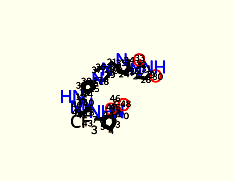 CN(c1cccc(CNc2nc(Nc3ccc(N4CCN(Cc5ccc(N6CCC(=O)NC6=O)cn5)CC4)cc3)ncc2C(F)(F)F)c1)S(C)(=O)=O